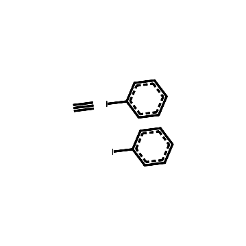 C#C.Ic1ccccc1.Ic1ccccc1